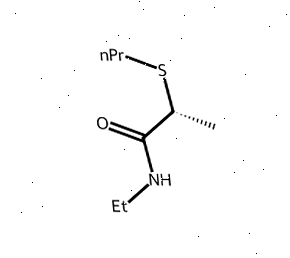 CCCS[C@H](C)C(=O)NCC